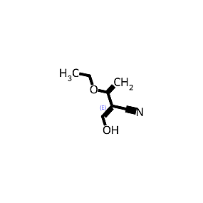 C=C(OCC)/C(C#N)=C/O